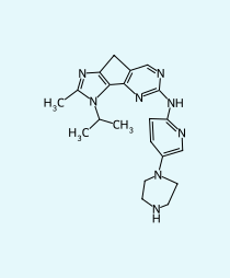 Cc1nc2c(n1C(C)C)-c1nc(Nc3ccc(N4CCNCC4)cn3)ncc1C2